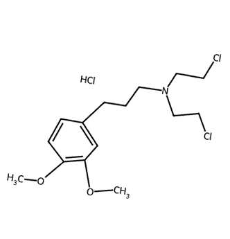 COc1ccc(CCCN(CCCl)CCCl)cc1OC.Cl